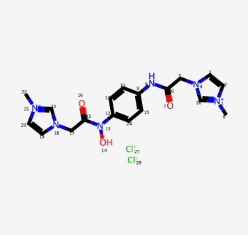 C[n+]1ccn(CC(=O)Nc2ccc(N(O)C(=O)Cn3cc[n+](C)c3)cc2)c1.[Cl-].[Cl-]